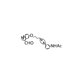 CC(=O)Nc1cccc(N2CCN(CCCCOc3ccn4ncc(C=O)c4c3)CC2)c1